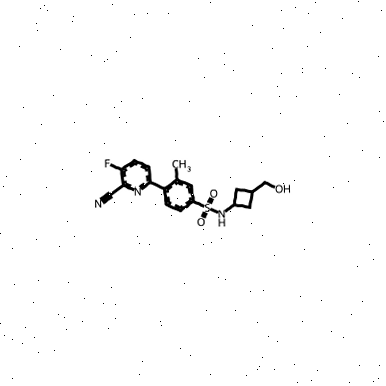 Cc1cc(S(=O)(=O)NC2CC(CO)C2)ccc1-c1ccc(F)c(C#N)n1